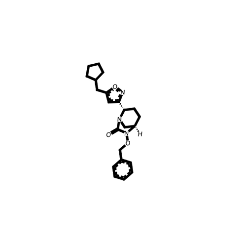 O=C1N2C[C@@H](CC[C@H]2c2cc(CC3CCCC3)on2)N1OCc1ccccc1